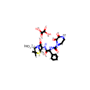 CCN1CCN(C(=O)NC(C(=O)N[C@@H]2C(=O)N3[C@@H]2SC(C)(C)[C@@H]3C(=O)O)c2ccccc2)C(=O)C1=O.O=C(O)C(=O)O